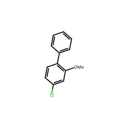 COc1cc(Cl)ccc1-c1ccccc1